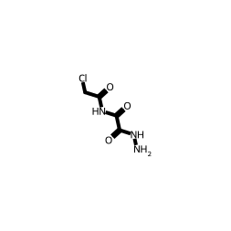 NNC(=O)C(=O)NC(=O)CCl